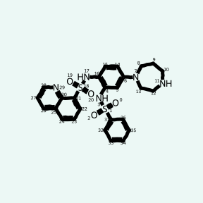 O=S(=O)(Nc1cc(N2CCCNCC2)ccc1NS(=O)(=O)c1cccc2cccnc12)c1ccccc1